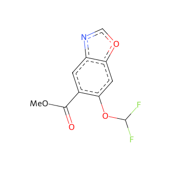 COC(=O)c1cc2ncoc2cc1OC(F)F